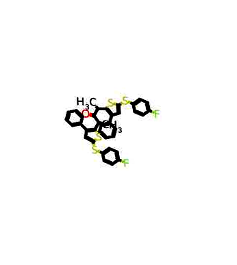 CC(C(=O)C(C)c1sc(Sc2ccc(F)cc2)cc1-c1ccccc1)c1sc(Sc2ccc(F)cc2)cc1-c1ccccc1